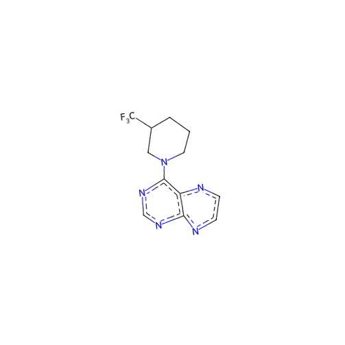 FC(F)(F)C1CCCN(c2ncnc3nccnc23)C1